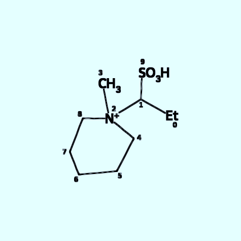 CCC([N+]1(C)CCCCC1)S(=O)(=O)O